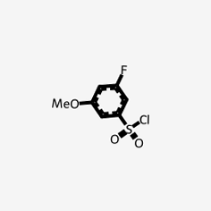 COc1cc(F)cc(S(=O)(=O)Cl)c1